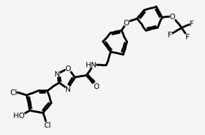 O=C(NCc1ccc(Oc2ccc(OC(F)(F)F)cc2)cc1)c1nc(-c2cc(Cl)c(O)c(Cl)c2)no1